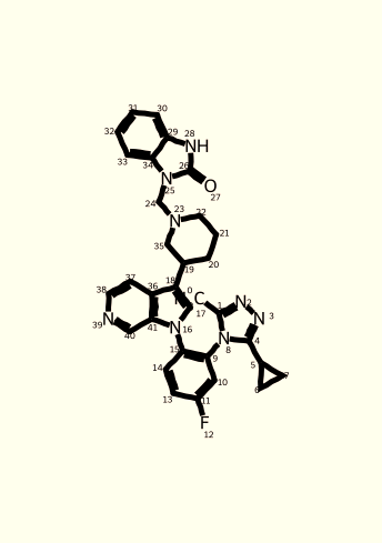 Cc1nnc(C2CC2)n1-c1cc(F)ccc1-n1cc(C2CCCN(Cn3c(=O)[nH]c4ccccc43)C2)c2ccncc21